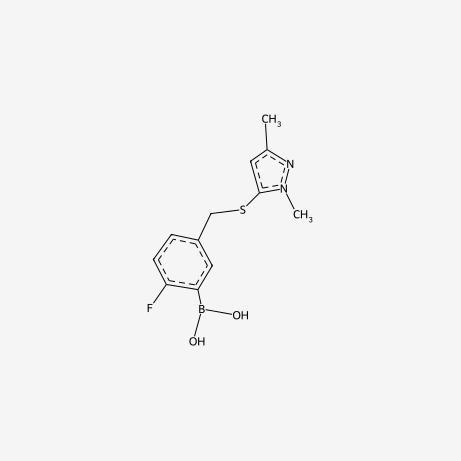 Cc1cc(SCc2ccc(F)c(B(O)O)c2)n(C)n1